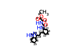 CCOC(=O)C(=O)NC(=O)Nc1ccccc1C=Cc1n[nH]c2ccccc12